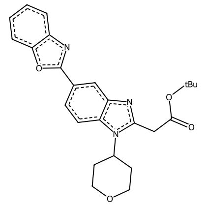 CC(C)(C)OC(=O)Cc1nc2cc(-c3nc4ccccc4o3)ccc2n1C1CCOCC1